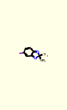 CC1(C)N=c2ccc(I)cc2=N1